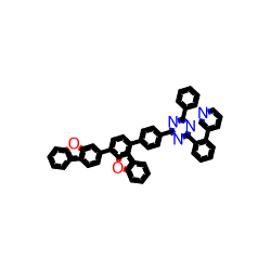 c1ccc(-c2nc(-c3ccc(-c4ccc(-c5ccc6c(c5)oc5ccccc56)c5oc6ccccc6c45)cc3)nc(-c3ccccc3-c3cccnc3)n2)cc1